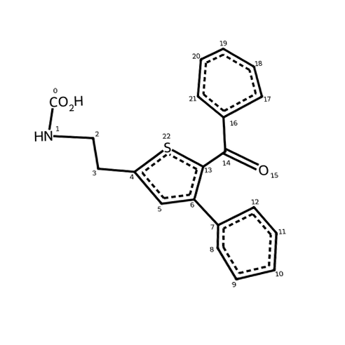 O=C(O)NCCc1cc(-c2ccccc2)c(C(=O)c2ccccc2)s1